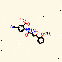 COc1ccccc1-c1cc(C(=O)Nc2ccc(C#N)cc2C(=O)O)no1